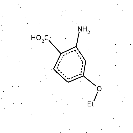 CCOc1ccc(C(=O)O)c(N)c1